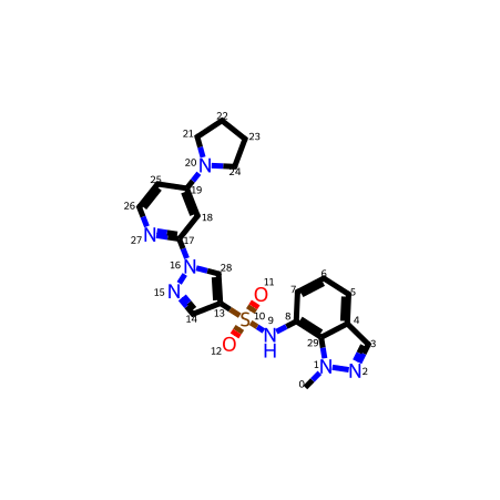 Cn1ncc2cccc(NS(=O)(=O)c3cnn(-c4cc(N5CCCC5)ccn4)c3)c21